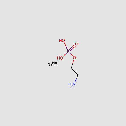 NCCOP(=O)(O)O.[Na].[Na]